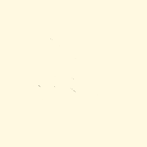 C[C@@H](N1CN([C@@H]2c3ccccc3SCc3c(Cl)cccc32)n2ccc(=O)c(OC(=O)N3CCOCC3)c2C1=O)C(F)(F)F